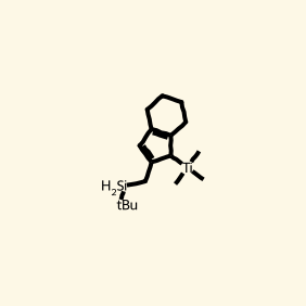 CC(C)(C)[SiH2]CC1=CC2=C(CCCC2)[CH]1[Ti]([CH3])([CH3])[CH3]